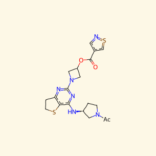 CC(=O)N1CC[C@H](Nc2nc(N3CC(OC(=O)c4cnsc4)C3)nc3c2SCC3)C1